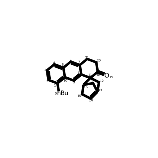 CCCCc1cccc2cc3c(cc12)C1(CC2=CCC1C2)C(=O)CC3